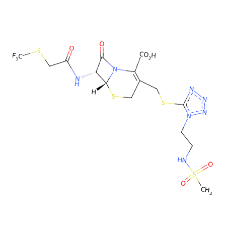 CS(=O)(=O)NCCn1nnnc1SCC1=C(C(=O)O)N2C(=O)[C@@H](NC(=O)CSC(F)(F)F)[C@H]2SC1